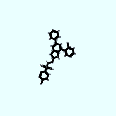 Cc1ccc(S(=O)(=O)OCC2Cc3cc(-c4ccccc4)cc(-c4ccccc4C)c3O2)cc1